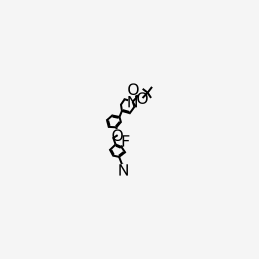 CC(C)(C)OC(=O)N1CC=C(c2cccc(OCc3ccc(C#N)cc3F)c2)CC1